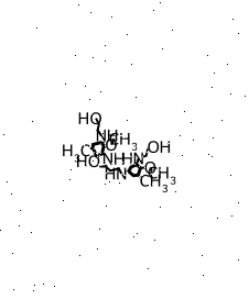 COc1c(C)cc(NCCC(CO)Nc2cc(C)cc(NCCO)c2OC)cc1NCCO